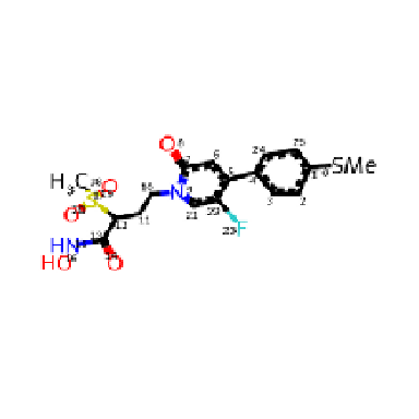 CSc1ccc(-c2cc(=O)n(CCC(C(=O)NO)S(C)(=O)=O)cc2F)cc1